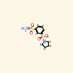 NS(=O)(=O)c1cccc(S(=O)(=O)N2CCCC2)c1